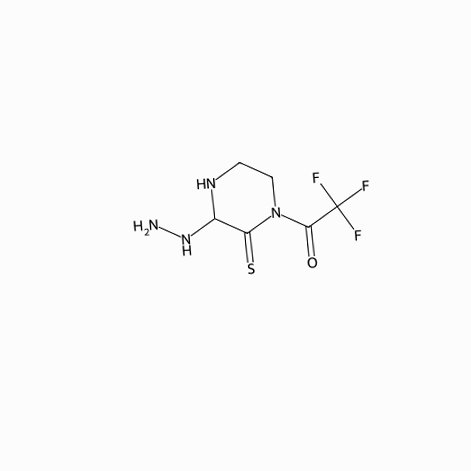 NNC1NCCN(C(=O)C(F)(F)F)C1=S